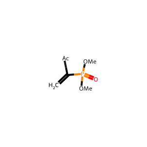 C=C(C(C)=O)P(=O)(OC)OC